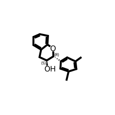 Cc1cc(C)cc([C@H]2Oc3ccccc3C[C@@H]2O)c1